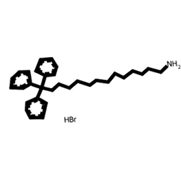 Br.NCCCCCCCCCCCCCC(c1ccccc1)(c1ccccc1)c1ccccc1